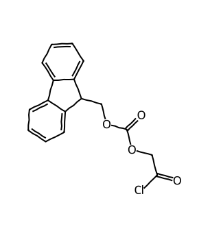 O=C(Cl)COC(=O)OCC1c2ccccc2-c2ccccc21